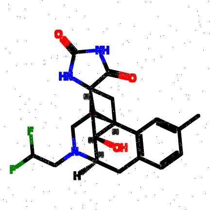 Cc1ccc2c(c1)[C@]13CCN(CC(F)F)[C@H](C2)[C@]1(O)CC[C@@]1(C3)NC(=O)NC1=O